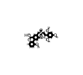 COc1cc(OC)c(C=CS(=O)(=O)Cc2cc(C(=O)O)c(-c3ccccc3OC)cc2N)c(OC)c1